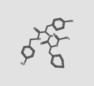 Cc1ccc(CNC(=O)C(Cc2ccc(O)cc2)NC(=O)C(Cc2ccccc2)OC(N)=O)cc1